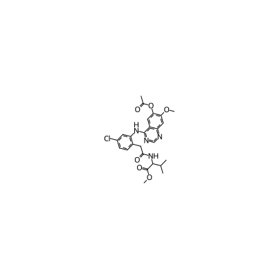 COC(=O)C(NC(=O)Cc1ccc(Cl)cc1Nc1ncnc2cc(OC)c(OC(C)=O)cc12)C(C)C